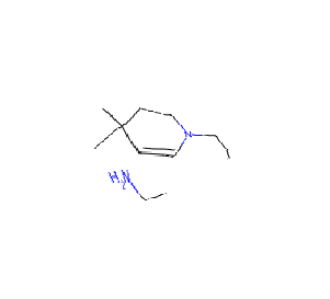 CCN.CCN1C=CC(C)(C)CC1